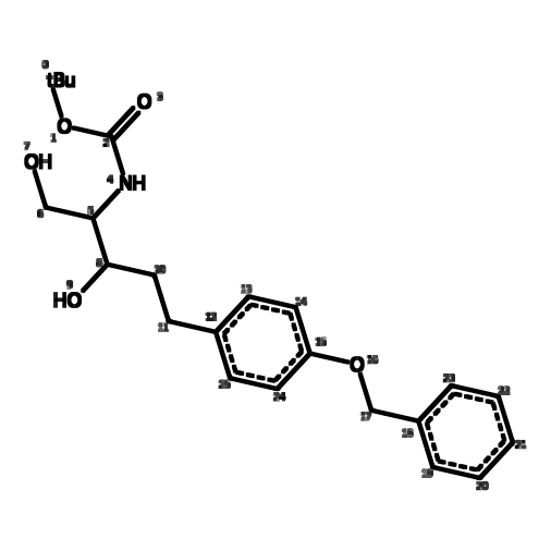 CC(C)(C)OC(=O)NC(CO)C(O)CCc1ccc(OCc2ccccc2)cc1